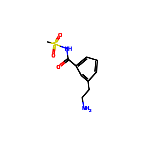 CS(=O)(=O)NC(=O)c1cccc(CCN)c1